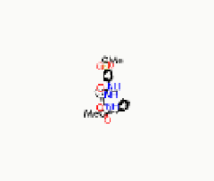 COC(=O)[C@H](Cc1ccccc1)NC(=O)[C@H](CC(=O)O)NC(=O)Nc1ccc(S(=O)(=O)OC)cc1